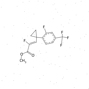 COC(=O)/C(F)=C/C1(c2ccc(C(F)(F)F)cc2F)CC1